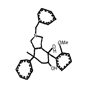 COc1ccccc1C1(O)C(O)CC(C)(c2ccccc2)C2CN(Cc3ccccc3)CC21